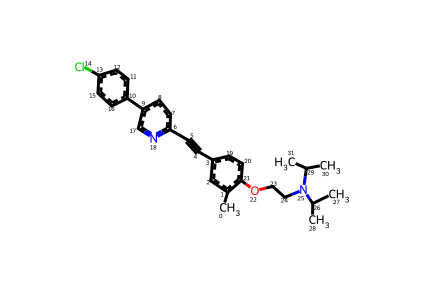 Cc1cc(C#Cc2ccc(-c3ccc(Cl)cc3)cn2)ccc1OCCN(C(C)C)C(C)C